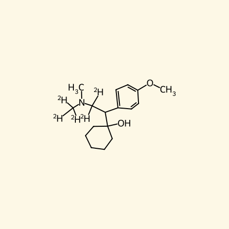 [2H]C([2H])([2H])N(C)C([2H])([2H])C(c1ccc(OC)cc1)C1(O)CCCCC1